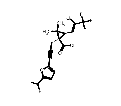 CC1(C)[C@@H](/C=C(\Cl)C(F)(F)F)[C@@]1(CC#Cc1ccc(C(F)F)o1)C(=O)O